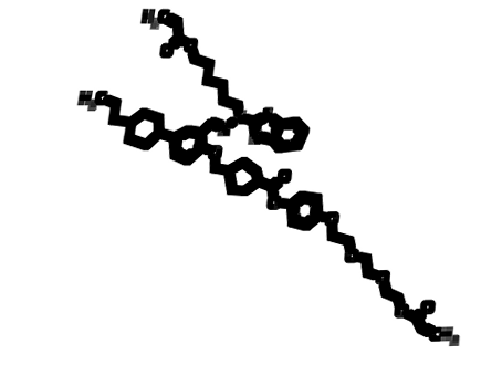 C=CC(=O)OCCCCCCN(/N=C/c1cc(C2CCC(CCC)CC2)ccc1OCC1CCC(C(=O)Oc2ccc(OCCOCCOCCOC(=O)C=C)cc2)CC1)c1nc2ccccc2s1